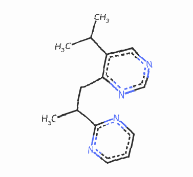 CC(C)c1cncnc1CC(C)c1ncccn1